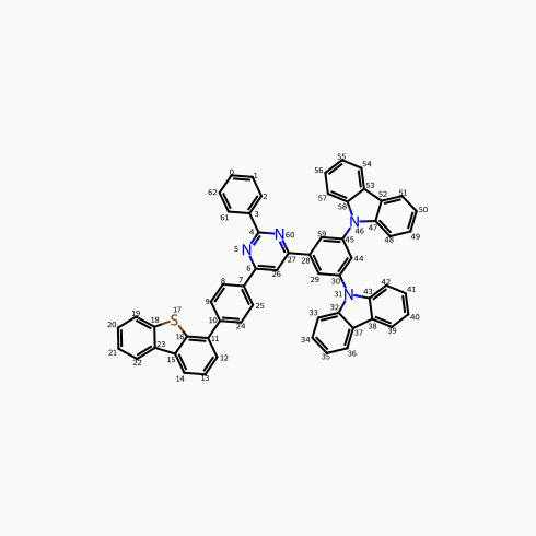 c1ccc(-c2nc(-c3ccc(-c4cccc5c4sc4ccccc45)cc3)cc(-c3cc(-n4c5ccccc5c5ccccc54)cc(-n4c5ccccc5c5ccccc54)c3)n2)cc1